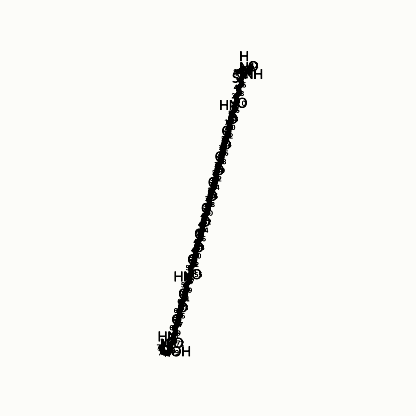 O=C(CCCCC1SCC2NC(=O)NC21)NCCOCCOCCOCCOCCOCCOCCOCCOCCOCCOCCOCCOCCC(=O)NCCCOCCOCCOCCCNC(=O)c1ncccc1O